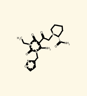 CCn1c(=O)c(C(=O)CN2CCCC[C@@H]2C(N)=O)c(N)n(Cc2ccon2)c1=O